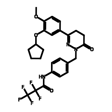 COc1ccc(C2=NN(Cc3ccc(NC(=O)C(F)(F)C(F)(F)F)cc3)C(=O)CC2)cc1OC1CCCC1